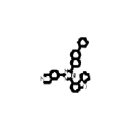 c1ccc(-c2ccc3cc(-c4nc(-c5ccc6cnccc6c5)nc(-c5cccc6oc7ccccc7c56)n4)ccc3c2)cc1